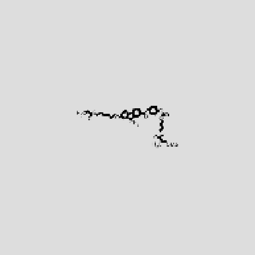 C=CC(=O)SCCCCCCOc1ccc2c(c1)C(C)c1cc(C(=O)Sc3ccc(OC(=O)OCCCCOC(=O)C(=C)COC)cc3)ccc1-2